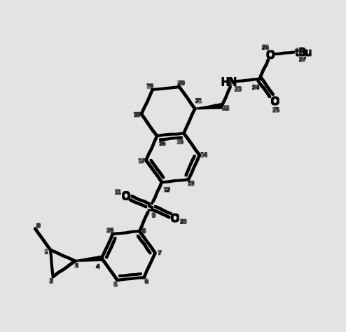 CC1C[C@@H]1c1cccc(S(=O)(=O)c2ccc3c(c2)CCC[C@H]3CNC(=O)OC(C)(C)C)c1